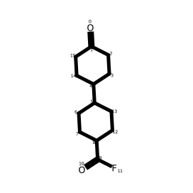 O=C1CCC(C2CCC(C(=O)F)CC2)CC1